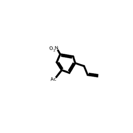 C=CCc1cc(C(C)=O)cc([N+](=O)[O-])c1